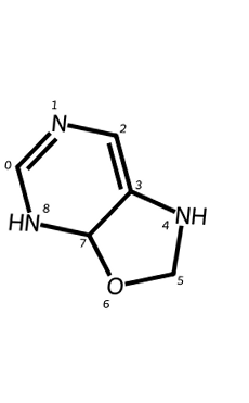 C1=NC=C2NCOC2N1